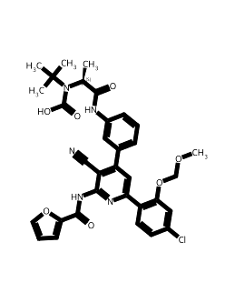 COCOc1cc(Cl)ccc1-c1cc(-c2cccc(NC(=O)[C@H](C)N(C(=O)O)C(C)(C)C)c2)c(C#N)c(NC(=O)c2ccco2)n1